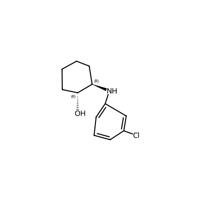 O[C@@H]1CCCC[C@H]1Nc1cccc(Cl)c1